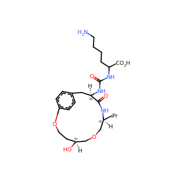 CC(C)[C@H]1COC[C@@H](O)CCOc2ccc(cc2)C[C@@H](NC(=O)NC(CCCCN)C(=O)O)C(=O)N1